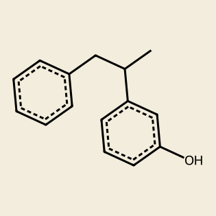 CC(Cc1ccccc1)c1cccc(O)c1